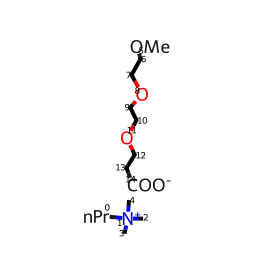 CCC[N+](C)(C)C.COCCOCCOCCC(=O)[O-]